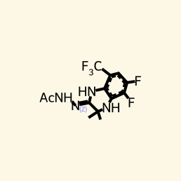 CC(=O)N/N=C1\Nc2c(C(F)(F)F)cc(F)c(F)c2NC1(C)C